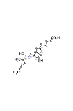 CC#CCC(C)[C@H](O)/C=C/[C@H]1CCc2oc(CCCCC(=O)O)cc21.[KH]